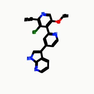 COc1ncc(OC(C)(C)C)c(-c2cc(-c3c[nH]c4ncccc34)ccn2)c1Cl